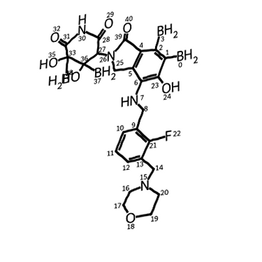 Bc1c(B)c2c(c(NCc3cccc(CN4CCOCC4)c3F)c1O)CN(C1C(=O)NC(=O)C(B)(O)C1(B)O)C2=O